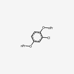 CCCOc1ccc(OCCC)c(Cl)c1